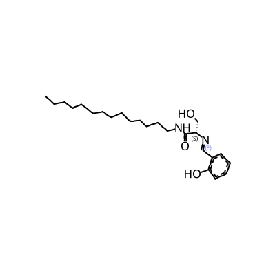 CCCCCCCCCCCCCCNC(=O)[C@H](CO)/N=C/c1ccccc1O